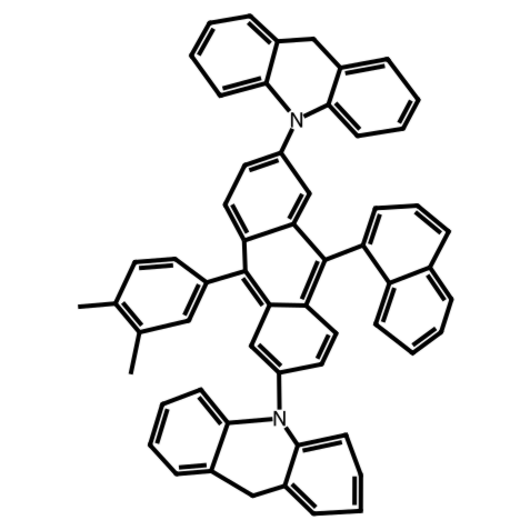 Cc1ccc(-c2c3cc(N4c5ccccc5Cc5ccccc54)ccc3c(-c3cccc4ccccc34)c3cc(N4c5ccccc5Cc5ccccc54)ccc23)cc1C